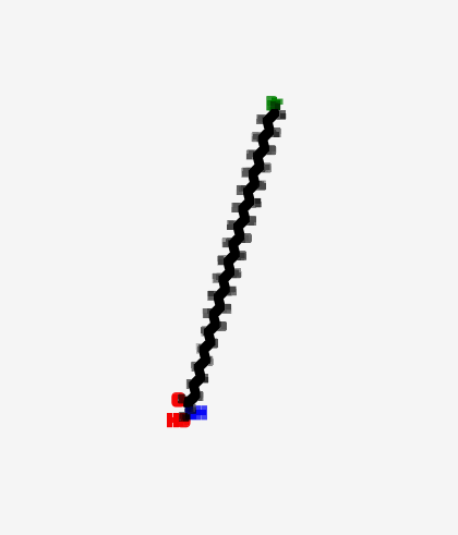 O=C(CCCCCCCCCCCCCCCCCCCCCCCCCCCCCCCCCBr)NO